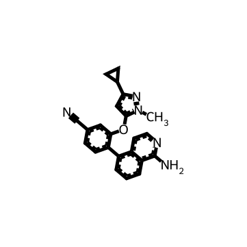 Cn1nc(C2CC2)cc1Oc1cc(C#N)ccc1-c1cccc2c(N)nccc12